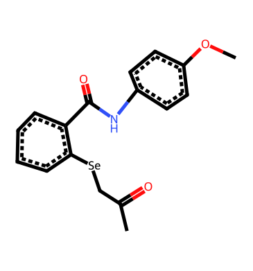 COc1ccc(NC(=O)c2ccccc2[Se]CC(C)=O)cc1